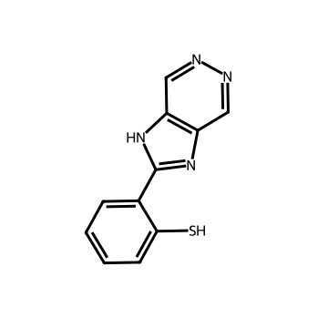 Sc1ccccc1-c1nc2cnncc2[nH]1